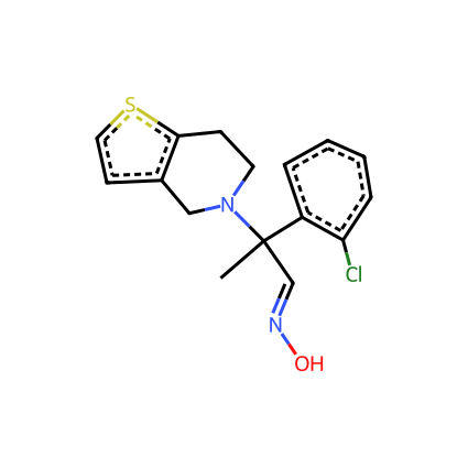 CC(C=NO)(c1ccccc1Cl)N1CCc2sccc2C1